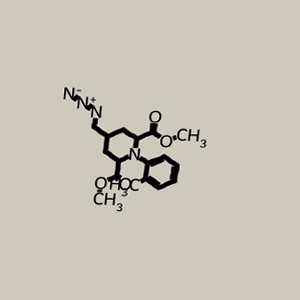 COC(=O)C1CC(CN=[N+]=[N-])CC(C(=O)OC)N1c1ccccc1C